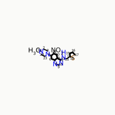 CN1CCN(c2cc3ncnc(NCc4cccs4)c3cc2[N+](=O)[O-])CC1